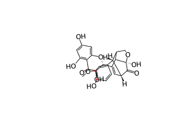 COc1cc([C@@H]2C3CO[C@@]4(O)C(=O)[C@@H]2C=C([C@H]2Oc5cc(O)cc(O)c5C(=O)[C@@H]2O)[C@@H]34)ccc1O